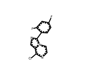 Fc1ccc(-c2ncc3c(Cl)nccn23)c(F)c1